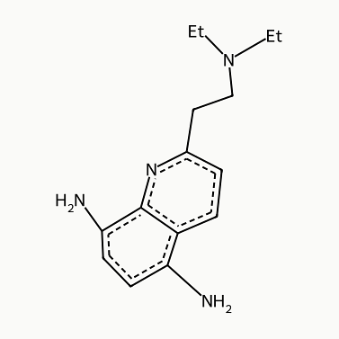 CCN(CC)CCc1ccc2c(N)ccc(N)c2n1